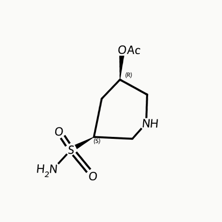 CC(=O)O[C@H]1CNC[C@@H](S(N)(=O)=O)C1